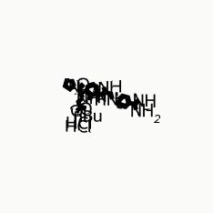 CCCCOC(=O)CN[C@@](C)(C(=O)N1CCCC1)c1ccc2[nH]c(CNc3ccc(C(=N)N)cc3)nc2c1C.Cl.Cl